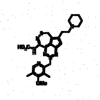 COc1c(C)cnc(Cn2nc3cc(CCN4CCCCC4)c4c-3c(n2)C(NC(=O)O)=NSC4)c1C